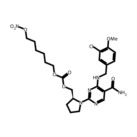 COc1ccc(CNc2nc(N3CCC[C@H]3COC(=O)OCCCCCCO[N+](=O)[O-])ncc2C(N)=O)cc1Cl